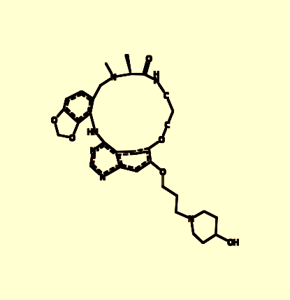 C[C@H]1C(=O)NCCCOc2cc3c(ncnc3cc2OCCCN2CCC(O)CC2)Nc2c(ccc3c2OCO3)CN1C